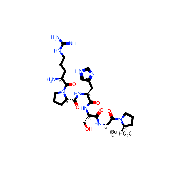 CC[C@H](C)[C@H](NC(=O)[C@H](CO)NC(=O)[C@H](Cc1c[nH]cn1)NC(=O)[C@@H]1CCCN1C(=O)[C@@H](N)CCCNC(=N)N)C(=O)N1CCC[C@H]1C(=O)O